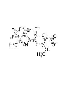 COc1cc(-c2nn(C)c(C(F)(F)F)c2Br)c(F)cc1[N+](=O)[O-]